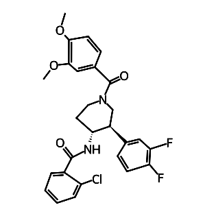 COc1ccc(C(=O)N2CC[C@@H](NC(=O)c3ccccc3Cl)[C@H](c3ccc(F)c(F)c3)C2)cc1OC